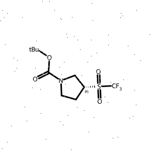 CC(C)(C)OC(=O)N1CC[C@@H](S(=O)(=O)C(F)(F)F)C1